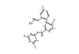 CC/N=C/c1cc(C)ccc1-c1cc(NCc2cc(C)cc(C)c2)ccc1C